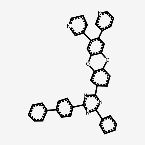 c1ccc(-c2ccc(-c3nc(-c4ccccc4)nc(-c4ccc5c(c4)Oc4cc(-c6cccnc6)c(-c6cccnc6)cc4O5)n3)cc2)cc1